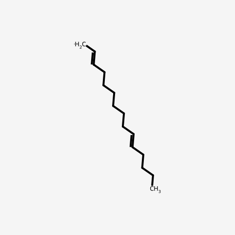 [CH2]C=CCCCCCCC=CCCCC